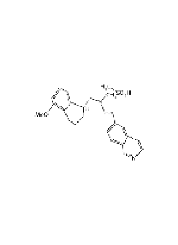 COc1cccc2c1CCC[C@H]2CN(C)CCc1ccc2cnccc2c1.CS(=O)(=O)O